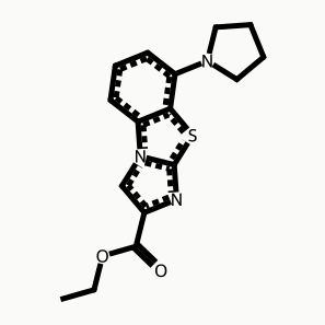 CCOC(=O)c1cn2c(n1)sc1c(N3CCCC3)cccc12